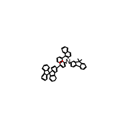 CC1(C)c2ccccc2-c2ccc(N(c3ccc(-c4ccc5c(c4)C4=C(C=CCC4)C54c5ccccc5-c5ccccc54)cc3)c3ccc4ccccc4c3-c3ccccc3)cc21